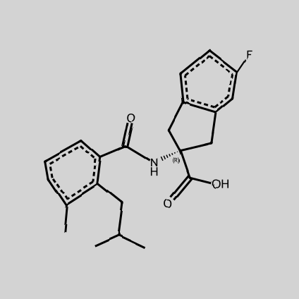 Cc1cccc(C(=O)N[C@]2(C(=O)O)Cc3ccc(F)cc3C2)c1CC(C)C